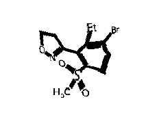 CCc1c(Br)ccc(S(C)(=O)=O)c1C1=NOCC1